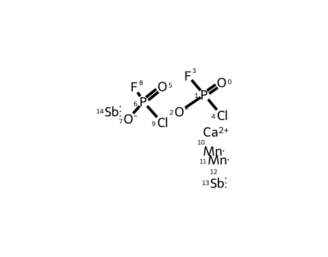 O=P([O-])(F)Cl.O=P([O-])(F)Cl.[Ca+2].[Mn].[Mn].[Sb].[Sb]